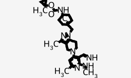 CNc1nc(C)cc(N2CCc3c(c(C)nn3CC34CCC(NC(=O)OC5(C)CC5)(CC3)CC4)C2)c1C=N